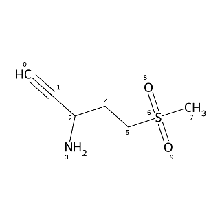 C#CC(N)CCS(C)(=O)=O